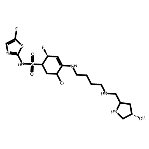 O=S(=O)(Nc1ncc(F)s1)C1CC(Cl)C(NCCCCNCC2C[C@H](O)CN2)=C[C@@H]1F